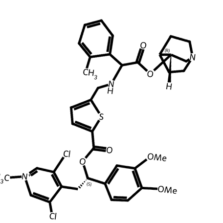 COc1ccc([C@H](Cc2c(Cl)c[n+](C)cc2Cl)OC(=O)c2ccc(CNC(C(=O)O[C@H]3CN4CCC3CC4)c3ccccc3C)s2)cc1OC